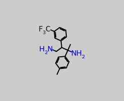 Cc1ccc(C(C)(N)C(CN)c2cccc(C(F)(F)F)c2)cc1